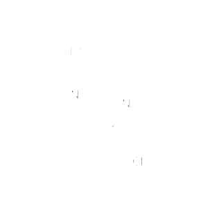 Cc1cnc2c(n1)CCC2C